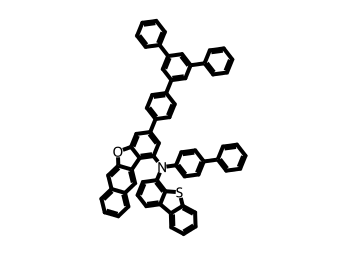 c1ccc(-c2ccc(N(c3cccc4c3sc3ccccc34)c3cc(-c4ccc(-c5cc(-c6ccccc6)cc(-c6ccccc6)c5)cc4)cc4oc5cc6ccccc6cc5c34)cc2)cc1